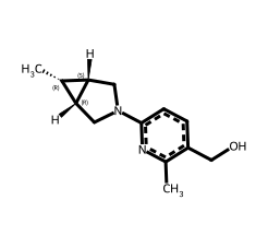 Cc1nc(N2C[C@@H]3[C@H](C)[C@@H]3C2)ccc1CO